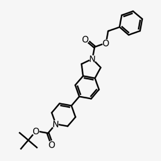 CC(C)(C)OC(=O)N1CC=C(c2ccc3c(c2)CN(C(=O)OCc2ccccc2)C3)CC1